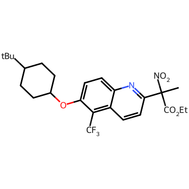 CCOC(=O)C(C)(c1ccc2c(C(F)(F)F)c(OC3CCC(C(C)(C)C)CC3)ccc2n1)[N+](=O)[O-]